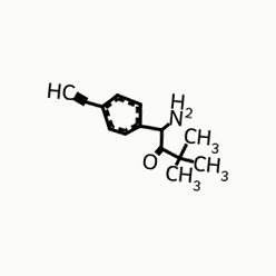 C#Cc1ccc(C(N)C(=O)C(C)(C)C)cc1